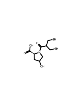 O=C(O)[C@@H]1CC(O)CN1C(=O)C(CS)CS